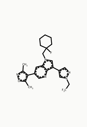 Cc1noc(C)c1-c1cnc2c(-c3cnn(CC(F)(F)F)c3)cn(CC3(F)CCCCC3)c2c1